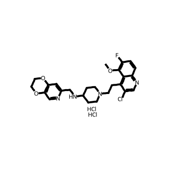 COc1c(F)ccc2ncc(Cl)c(CCN3CCC(NCc4cc5c(cn4)OCCO5)CC3)c12.Cl.Cl